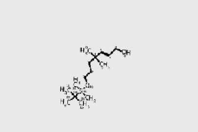 CC(C)(C=CCO)CCCO[Si](C)(C)C(C)(C)C